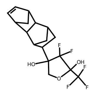 OC1(C2CC3CC2C2C4C=CC(C4)C32)COC(O)(C(F)(F)F)C1(F)F